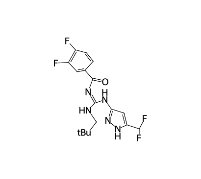 CC(C)(C)CN/C(=N/C(=O)c1ccc(F)c(F)c1)Nc1cc(C(F)F)[nH]n1